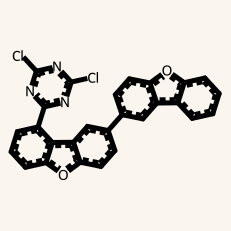 Clc1nc(Cl)nc(-c2cccc3oc4ccc(-c5ccc6oc7ccccc7c6c5)cc4c23)n1